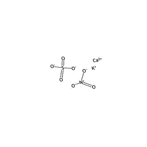 O=S(=O)([O-])[O-].O=[N+]([O-])[O-].[Ca+2].[K+]